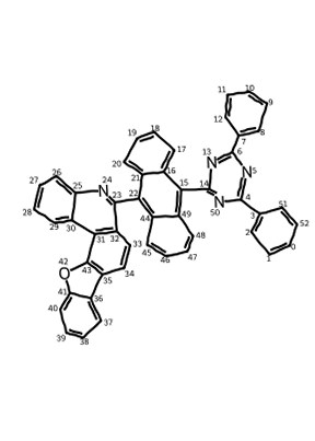 c1ccc(-c2nc(-c3ccccc3)nc(-c3c4ccccc4c(-c4nc5ccccc5c5c4ccc4c6ccccc6oc45)c4ccccc34)n2)cc1